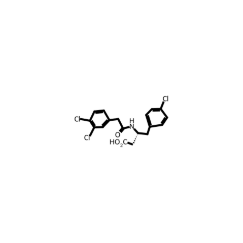 O=C(O)C[C@@H](Cc1ccc(Cl)cc1)NC(=O)Cc1ccc(Cl)c(Cl)c1